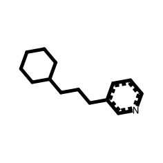 c1cncc(CCCC2CCCCC2)c1